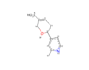 Cc1cc(C2CC=C(C(=O)O)CO2)ccn1